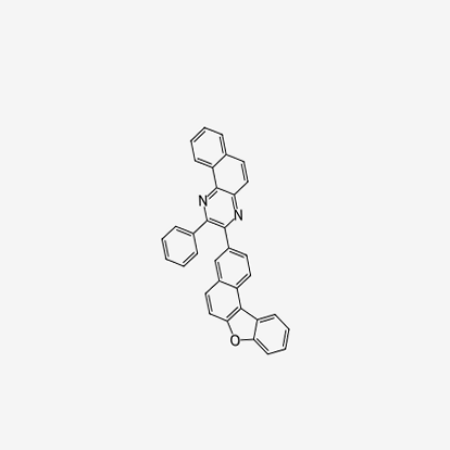 c1ccc(-c2nc3c(ccc4ccccc43)nc2-c2ccc3c(ccc4oc5ccccc5c43)c2)cc1